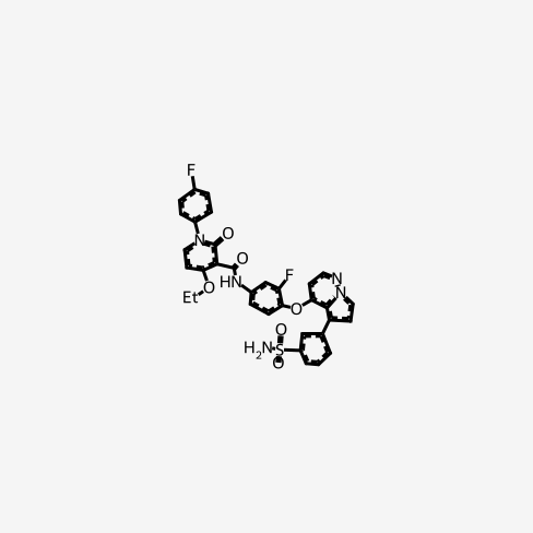 CCOc1ccn(-c2ccc(F)cc2)c(=O)c1C(=O)Nc1ccc(Oc2ccnn3ccc(-c4cccc(S(N)(=O)=O)c4)c23)c(F)c1